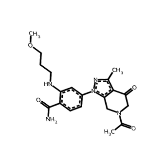 COCCCNc1cc(-n2nc(C)c3c2CN(C(C)=O)CC3=O)ccc1C(N)=O